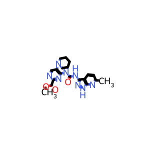 COC(=O)c1ncc2c(n1)N(C(=O)Nc1n[nH]c3nc(C)ccc13)C1CCCN2C1